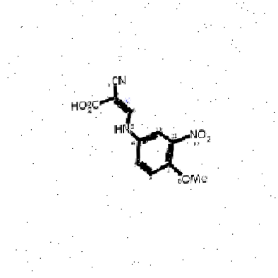 COc1ccc(N/C=C(/C#N)C(=O)O)cc1[N+](=O)[O-]